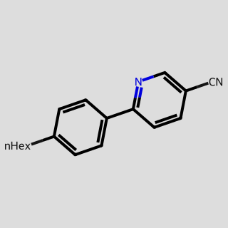 CCCCCCc1ccc(-c2ccc(C#N)cn2)cc1